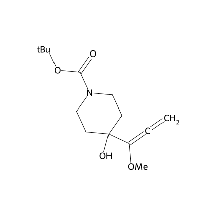 C=C=C(OC)C1(O)CCN(C(=O)OC(C)(C)C)CC1